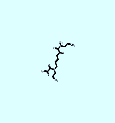 C=CCN(C)C(=O)C(F)C/C=C/CN(CC=C)C(=O)C(=C)F